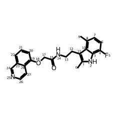 Cc1[nH]c2c(F)ccc(C)c2c1CCNC(=O)COc1cccc2cnccc12